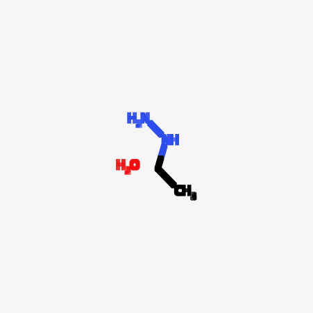 CCNN.O